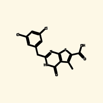 Cc1c(C(=O)O)sc2nc(Cc3cc(Cl)cc(Cl)c3)[nH]c(=O)c12